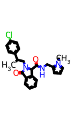 CC(CN1C(=O)c2ccccc2C1C(=O)NCc1cccn1C)c1ccc(Cl)cc1